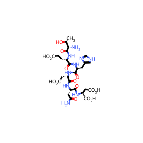 C[C@@H](O)[C@H](N)C(=O)N[C@@H](CCC(=O)O)C(=O)N[C@@H](Cc1c[nH]cn1)C(=O)N[C@@H](CC(=O)O)C(=O)N[C@@H](CC(N)=O)C(=O)N[C@@H](CC(=O)O)C(=O)O